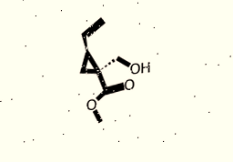 C=C[C@@H]1C[C@]1(CO)C(=O)OC